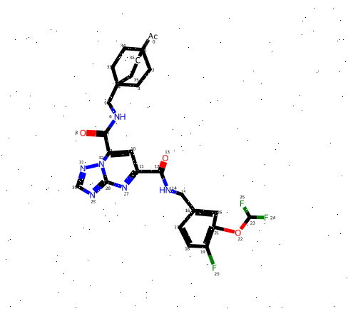 CC(=O)C12CCC(CNC(=O)c3cc(C(=O)NCc4ccc(F)c(OC(F)F)c4)nc4ncnn34)(CC1)CC2